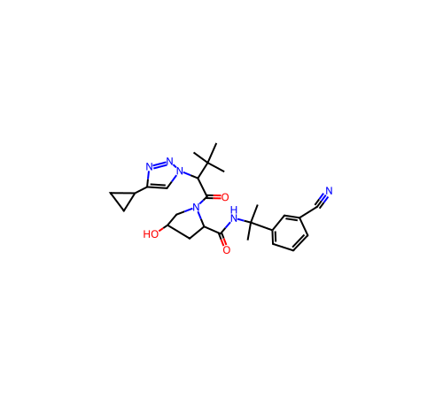 CC(C)(NC(=O)C1CC(O)CN1C(=O)C(n1cc(C2CC2)nn1)C(C)(C)C)c1cccc(C#N)c1